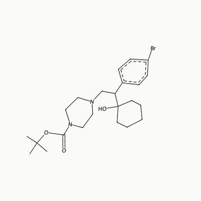 CC(C)(C)OC(=O)N1CCN(CC(c2ccc(Br)cc2)C2(O)CCCCC2)CC1